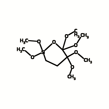 COC1(OC)CC[Si](OC)(OC)OC1(OC)OC